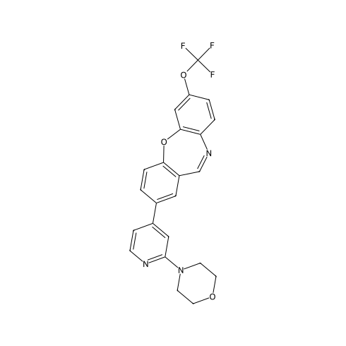 FC(F)(F)Oc1ccc2c(c1)Oc1ccc(-c3ccnc(N4CCOCC4)c3)cc1C=N2